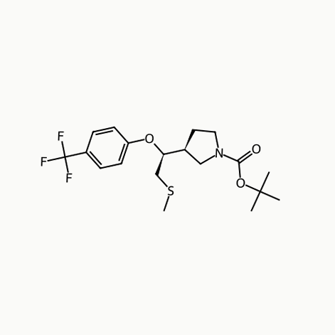 CSC[C@@H](Oc1ccc(C(F)(F)F)cc1)[C@H]1CCN(C(=O)OC(C)(C)C)C1